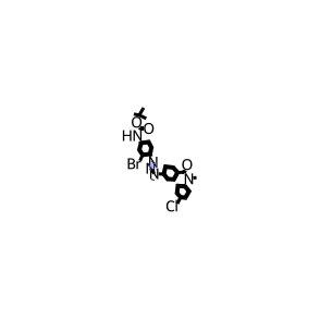 CN(/N=N/c1ccc(NC(=O)OC(C)(C)C)cc1Br)c1ccc(C(=O)N(C)c2ccc(Cl)cc2)cc1